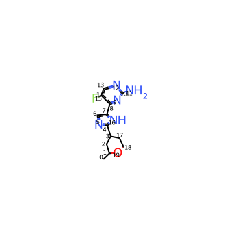 CC1CC(c2ncc(-c3nc(N)ncc3F)[nH]2)CCO1